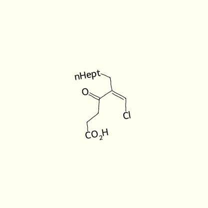 CCCCCCCCC(=CCl)C(=O)CCC(=O)O